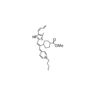 C=C/C=C\C1=C(C)SC(/C=C(/C=C2C=CN(CCCI)C=C2)C2CCC(C(=O)OC)CC2)=[PH]1C